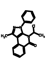 Cc1nn(-c2ccccc2)c2c1c1ccccc1c(=O)n2C(C)Cl